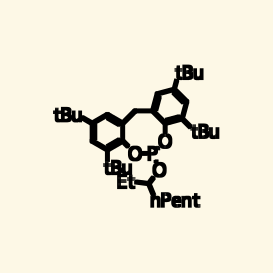 CCCCCC(CC)OP1Oc2c(cc(C(C)(C)C)cc2C(C)(C)C)Cc2cc(C(C)(C)C)cc(C(C)(C)C)c2O1